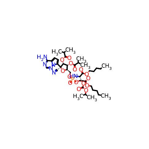 CCCCCOC(=O)C[C@H](N[P@](=O)(OCOC(=O)OC(C)C)OC[C@H]1O[C@@](C#N)(c2ccc3c(N)ncnn23)[C@H](OC(=O)C(C)C)[C@@H]1OC(=O)C(C)C)C(=O)OCCCCC